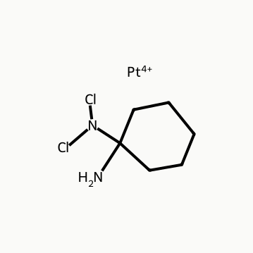 NC1(N(Cl)Cl)CCCCC1.[Pt+4]